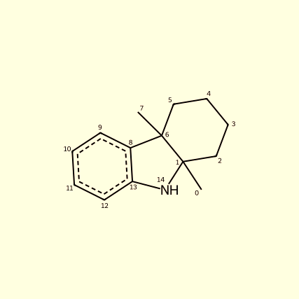 CC12CCCCC1(C)c1ccccc1N2